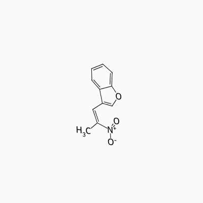 CC(=Cc1coc2ccccc12)[N+](=O)[O-]